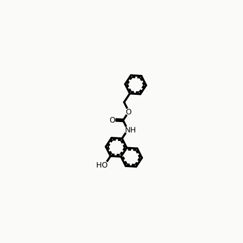 O=C(Nc1ccc(O)c2ccccc12)OCc1ccccc1